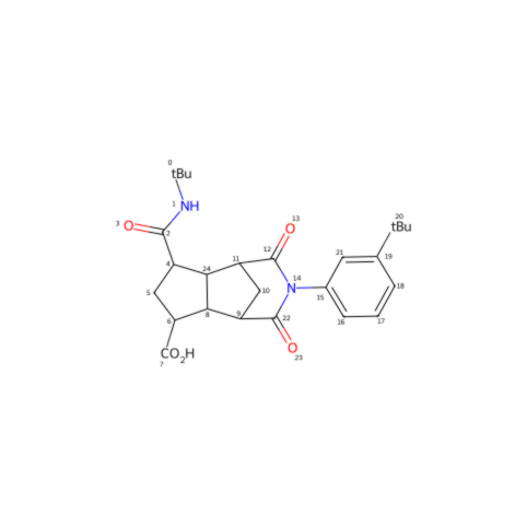 CC(C)(C)NC(=O)C1CC(C(=O)O)C2C3CC(C(=O)N(c4cccc(C(C)(C)C)c4)C3=O)C12